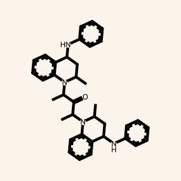 CC1CC(Nc2ccccc2)c2ccccc2N1C(C)C(=O)C(C)N1c2ccccc2C(Nc2ccccc2)CC1C